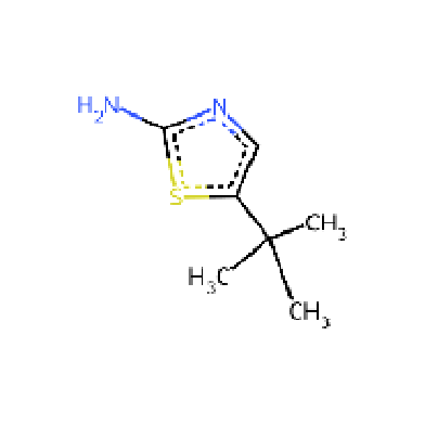 CC(C)(C)c1cnc(N)s1